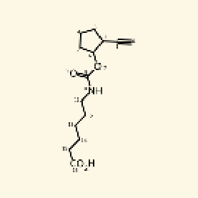 C#CC1CCCC1OC(=O)NCCCCCC(=O)O